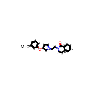 COc1cccc(O[C@@H]2CCN(CCN3CCc4ccccc4C3=O)C2)c1